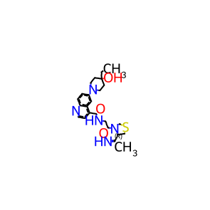 CCC1(O)CCN(c2ccc3nccc(C(=O)NCC(=O)N4CSC[C@H]4C(C)=N)c3c2)CC1